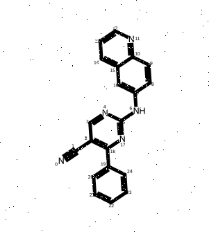 N#Cc1cnc(Nc2ccc3ncccc3c2)nc1-c1ccccc1